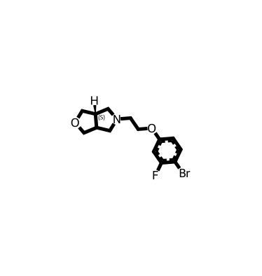 Fc1cc(OCCN2CC3COC[C@@H]3C2)ccc1Br